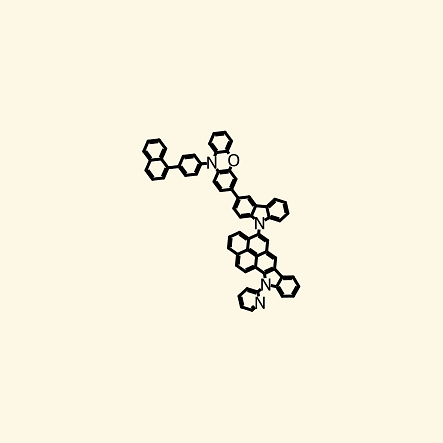 c1ccc(-n2c3ccccc3c3cc4cc(-n5c6ccccc6c6cc(-c7ccc8c(c7)Oc7ccccc7N8c7ccc(-c8cccc9ccccc89)cc7)ccc65)c5cccc6ccc(c4c65)c32)nc1